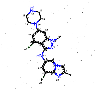 Cc1cn2cc(Nc3nn(C)c4cc(N5CCNCC5)cc(F)c34)cc(F)c2n1